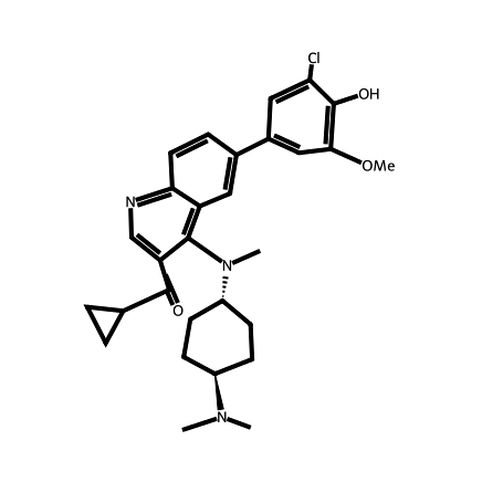 COc1cc(-c2ccc3ncc(C(=O)C4CC4)c(N(C)[C@H]4CC[C@H](N(C)C)CC4)c3c2)cc(Cl)c1O